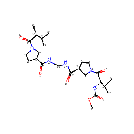 COC(=O)N[C@H](C(=O)N1CC[C@H](C(=O)NCNC(=O)[C@H]2CCN(C(=O)[C@@H](C)C(C)C)C2)C1)C(C)C